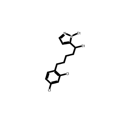 CCC(CCCCc1ccc(Cl)cc1Cl)c1ccnn1CC